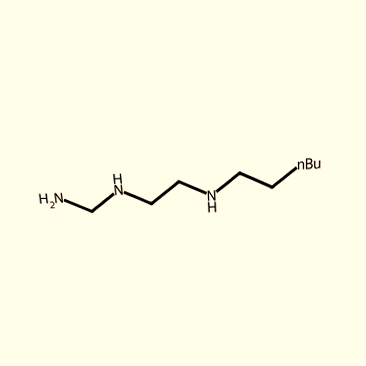 [CH2]CCCCCNCCNCN